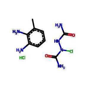 Cc1cccc(N)c1N.Cl.NC(=O)NN(Cl)C(N)=O